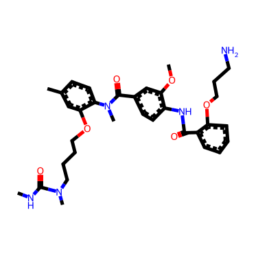 CNC(=O)N(C)CCCCOc1cc(C)ccc1N(C)C(=O)c1ccc(NC(=O)c2ccccc2OCCCN)c(OC)c1